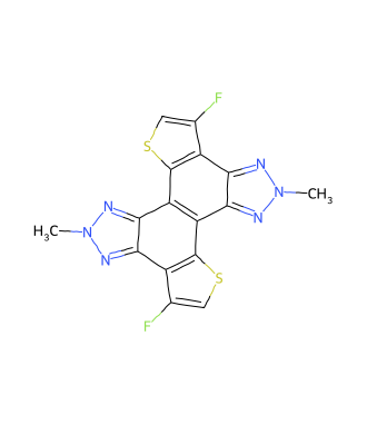 Cn1nc2c(n1)c1c3scc(F)c3c3nn(C)nc3c1c1scc(F)c21